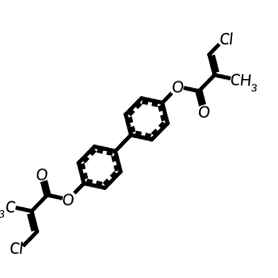 CC(=CCl)C(=O)Oc1ccc(-c2ccc(OC(=O)C(C)=CCl)cc2)cc1